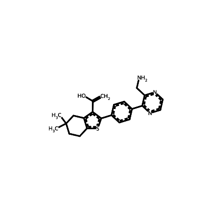 C=C(O)c1c(-c2ccc(-c3nccnc3CN)cc2)sc2c1CC(C)(C)CC2